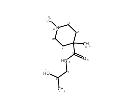 CC(O)CNC(=O)C1(C)CCN(C)CC1